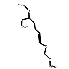 CCCCCCCCCOC(CCC=COCOCCCCCCC)OCCCCCCCCC